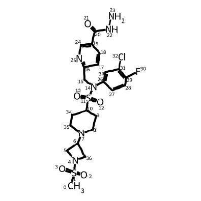 CS(=O)(=O)N1CC(N2CCC(S(=O)(=O)N(Cc3ccc(C(=O)NN)cn3)c3ccc(F)c(Cl)c3)CC2)C1